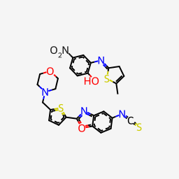 CC1=CC/C(=N/c2cc([N+](=O)[O-])ccc2O)S1.S=C=Nc1ccc2oc(-c3ccc(CN4CCOCC4)s3)nc2c1